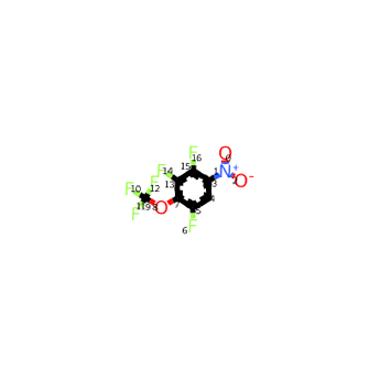 O=[N+]([O-])c1cc(F)c(OC(F)(F)F)c(F)c1F